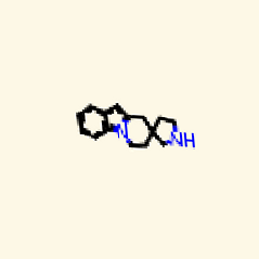 c1ccc2c(c1)cc1n2CCC2(CCNC2)C1